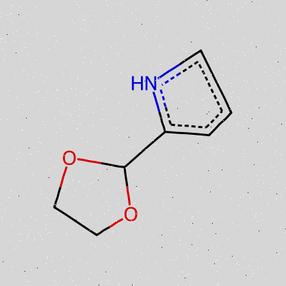 c1c[nH]c(C2OCCO2)c1